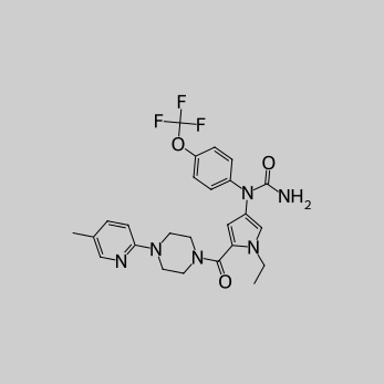 CCn1cc(N(C(N)=O)c2ccc(OC(F)(F)F)cc2)cc1C(=O)N1CCN(c2ccc(C)cn2)CC1